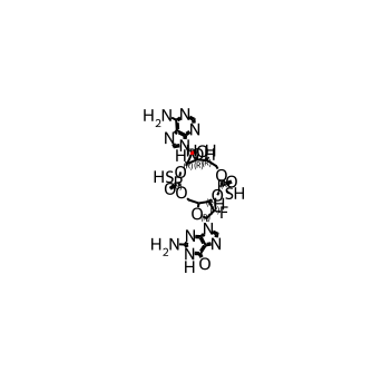 Nc1nc2c(ncn2[C@@H]2OC3CO[P@](=O)(S)O[C@@H]4[C@H](O)[C@@H](CO[P@@](=O)(S)O[C@H]3[C@H]2F)O[C@H]4n2cnc3c(N)ncnc32)c(=O)[nH]1